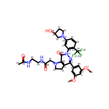 COc1cc(OC)cc(-c2nn(-c3cc(N4CCC(O)C4)ccc3C(F)(F)F)c(=O)c3c2CCN3CC(=O)NCCNC(C)=O)c1